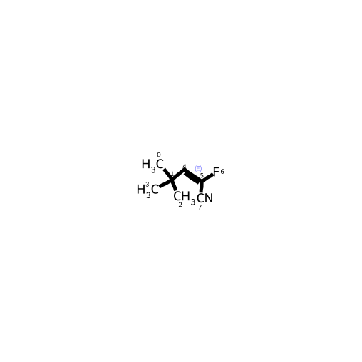 CC(C)(C)/C=C(/F)C#N